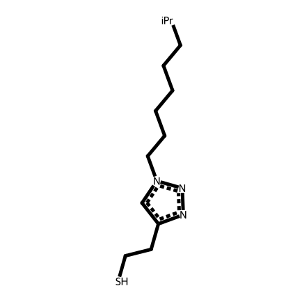 CC(C)CCCCCCn1cc(CCS)nn1